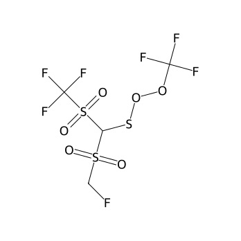 O=S(=O)(CF)C(SOOC(F)(F)F)S(=O)(=O)C(F)(F)F